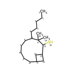 CCCCCC1CCCCCC2CC(C2)C(S)C1(C)C